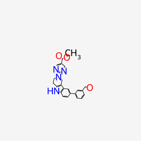 COC(=O)c1cnc(N2CCc3[nH]c4ccc(-c5cccc(C=O)c5)cc4c3C2)nc1